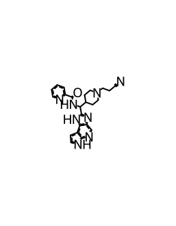 N#CCCN1CCC(C(NC(=O)c2ccccn2)c2nc3cnc4[nH]ccc4c3[nH]2)CC1